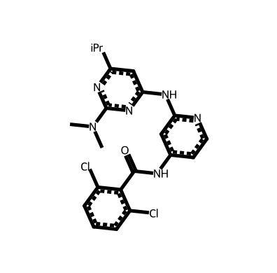 CC(C)c1cc(Nc2cc(NC(=O)c3c(Cl)cccc3Cl)ccn2)nc(N(C)C)n1